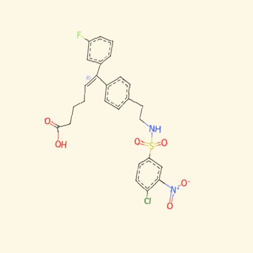 O=C(O)CCC/C=C(\c1ccc(CCNS(=O)(=O)c2ccc(Cl)c([N+](=O)[O-])c2)cc1)c1cccc(F)c1